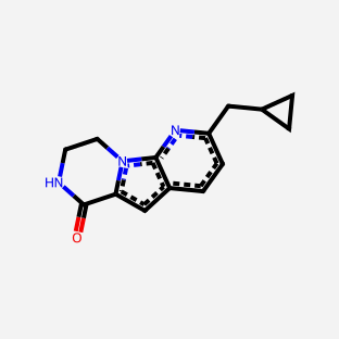 O=C1NCCn2c1cc1ccc(CC3CC3)nc12